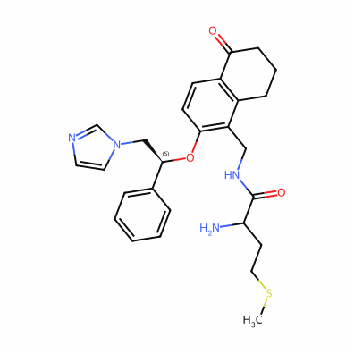 CSCCC(N)C(=O)NCc1c(O[C@H](Cn2ccnc2)c2ccccc2)ccc2c1CCCC2=O